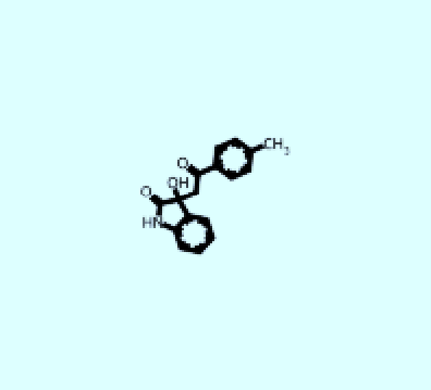 Cc1ccc(C(=O)CC2(O)C(=O)Nc3ccccc32)cc1